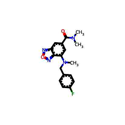 CN(C)C(=O)c1cc(N(C)Cc2ccc(F)cc2)c2nonc2c1